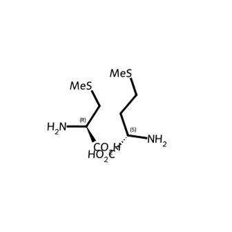 CSCC[C@H](N)C(=O)O.CSC[C@H](N)C(=O)O